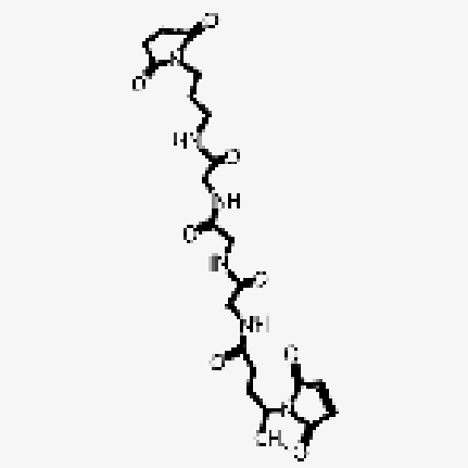 CC(CCC(=O)NCC(=O)NCC(=O)NCC(=O)NCCCN1C(=O)CCC1=O)N1C(=O)C=CC1=O